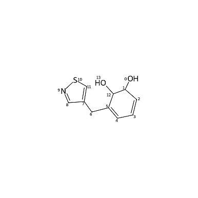 OC1C=CC=C(Cc2cnsc2)C1O